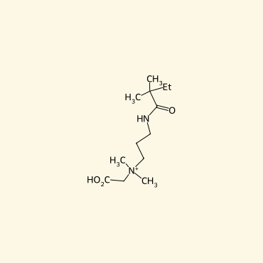 CCC(C)(C)C(=O)NCCC[N+](C)(C)CC(=O)O